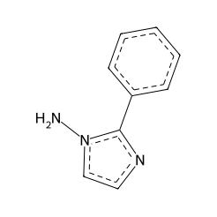 Nn1ccnc1-c1ccccc1